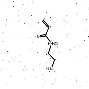 C=CC(=O)NCCN.Cl